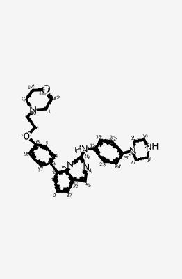 c1cc(-c2ccc(OCCN3CCOCC3)cc2)c2nc(Nc3ccc(N4CCNCC4)cc3)ncc2c1